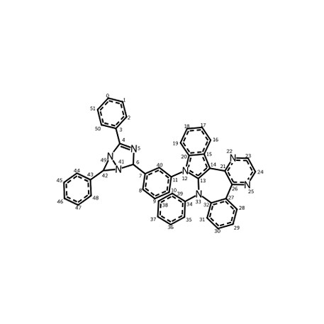 c1ccc(C2=NC(c3cccc(-n4c5c(c6ccccc64)-c4nccnc4-c4ccccc4N5c4ccccc4)c3)N3C(c4ccccc4)N23)cc1